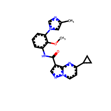 COc1c(NC(=O)c2cnn3ccc(C4CC4)nc23)cccc1-n1cnc(C)c1